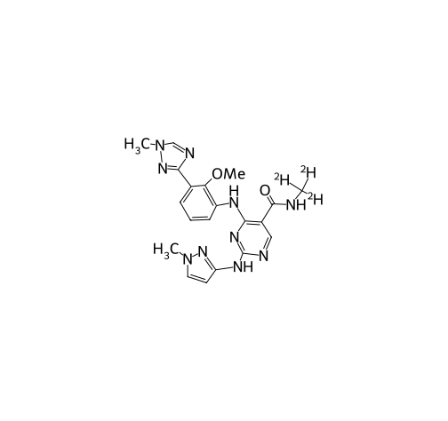 [2H]C([2H])([2H])NC(=O)c1cnc(Nc2ccn(C)n2)nc1Nc1cccc(-c2ncn(C)n2)c1OC